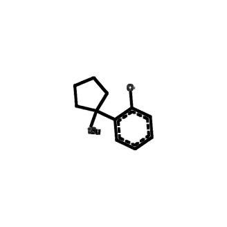 CC(C)(C)C1(c2ccccc2[O])CCCC1